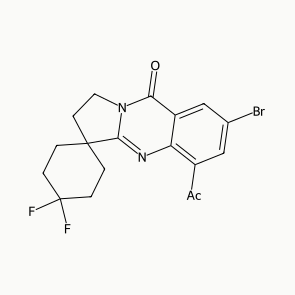 CC(=O)c1cc(Br)cc2c(=O)n3c(nc12)C1(CC3)CCC(F)(F)CC1